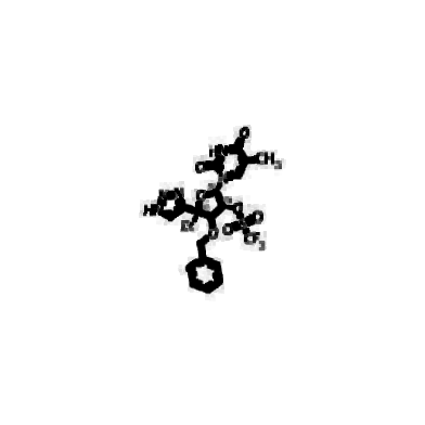 CC[C@@]1(c2c[nH]nn2)O[C@@H](n2cc(C)c(=O)[nH]c2=O)[C@@H](OS(=O)(=O)C(F)(F)F)C1OCc1ccccc1